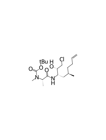 C=CCC[C@@H](C)C[C@H](NC(=O)[C@H](C)N(C)C(=O)OC(C)(C)C)[C@H](O)CCl